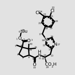 CC(C)(C)OC(=O)C1(C)CCC(C(=O)N[C@@H](Cc2cn(Cc3ccc(Cl)c(Cl)c3)cn2)C(=O)O)C1(C)C